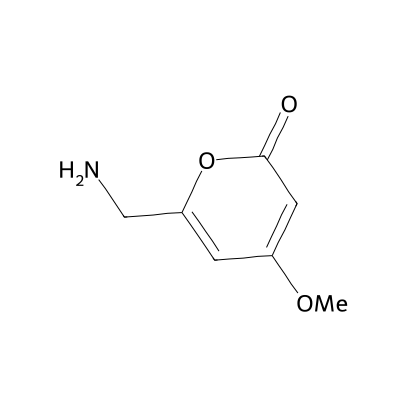 COc1cc(CN)oc(=O)c1